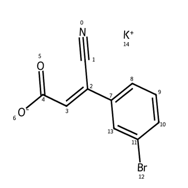 N#C/C(=C\C(=O)[O-])c1cccc(Br)c1.[K+]